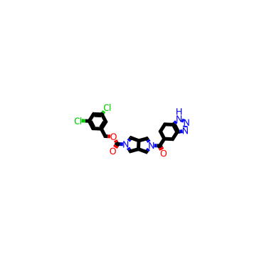 O=C(OCc1cc(Cl)cc(Cl)c1)N1CC2CN(C(=O)C3CCc4[nH]nnc4C3)CC2C1